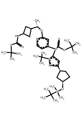 C[C@H](Oc1cc(N(C(=O)OC(C)(C)C)c2cc([C@H]3CC[C@@H](O[Si](C)(C)C(C)(C)C)C3)nn2C(C)(C)C)ccn1)C1CC(NC(=O)OC(C)(C)C)C1